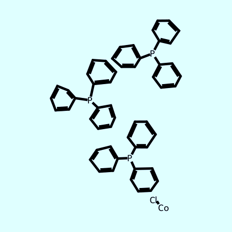 [Cl][Co].c1ccc(P(c2ccccc2)c2ccccc2)cc1.c1ccc(P(c2ccccc2)c2ccccc2)cc1.c1ccc(P(c2ccccc2)c2ccccc2)cc1